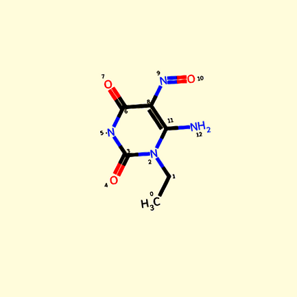 CCN1C(=O)[N]C(=O)C(N=O)=C1N